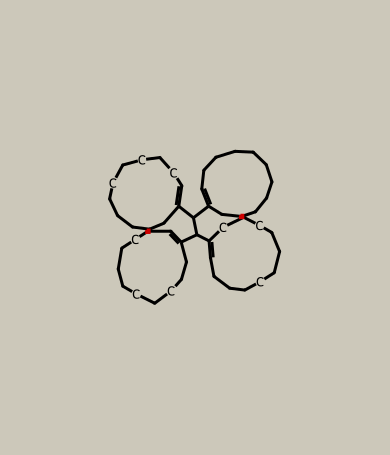 C1=C(C(C2=CCCCCCCCCCC2)C(C2=CCCCCCCCCCC2)C2=CCCCCCCCCCC2)CCCCCCCCCC1